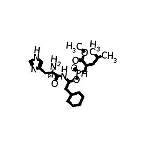 COC(=O)C(CC(C)C)C[PH](=O)OC(CC1CCCCC1)NC(=O)[C@@H](N)Cc1c[nH]cn1